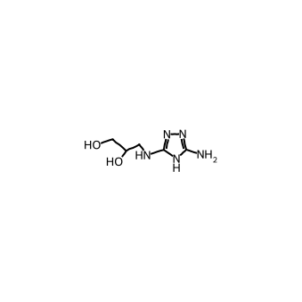 Nc1nnc(NCC(O)CO)[nH]1